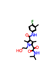 Cc1cc(NC(=O)c2c(C)c(C(=O)C(=O)NC(C)C)n(CCO)c2C)ccc1F